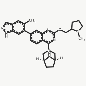 Cc1cc2cn[nH]c2cc1-c1ccc2c(N3C[C@H]4CC[C@@H](C3)N4)nc(OCC3CCCN3C)nc2c1